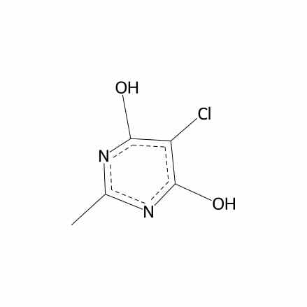 Cc1nc(O)c(Cl)c(O)n1